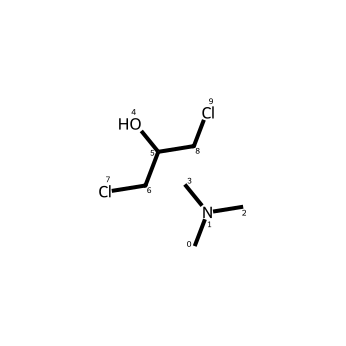 CN(C)C.OC(CCl)CCl